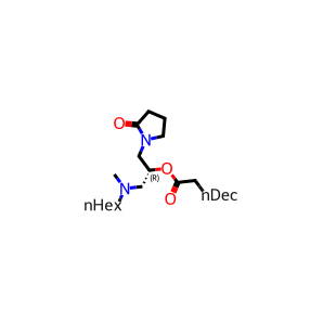 CCCCCCCCCCCC(=O)O[C@H](CN(C)CCCCCC)CN1CCCC1=O